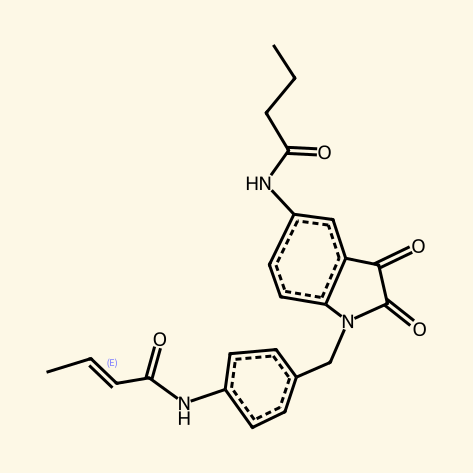 C/C=C/C(=O)Nc1ccc(CN2C(=O)C(=O)c3cc(NC(=O)CCC)ccc32)cc1